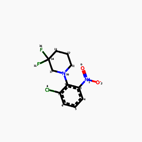 O=[N+]([O-])c1cccc(Cl)c1N1CCCC(F)(F)C1